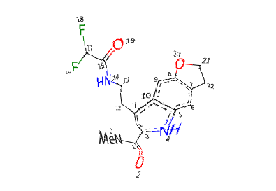 CNC(=O)c1[nH]c2cc3c(cc2c1CCNC(=O)C(F)F)OCC3